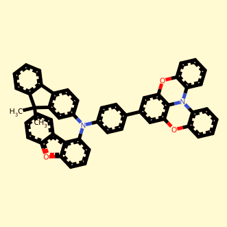 CC1(C)c2ccccc2-c2ccc(N(c3ccc(-c4cc5c6c(c4)Oc4ccccc4N6c4ccccc4O5)cc3)c3cccc4oc5ccccc5c34)cc21